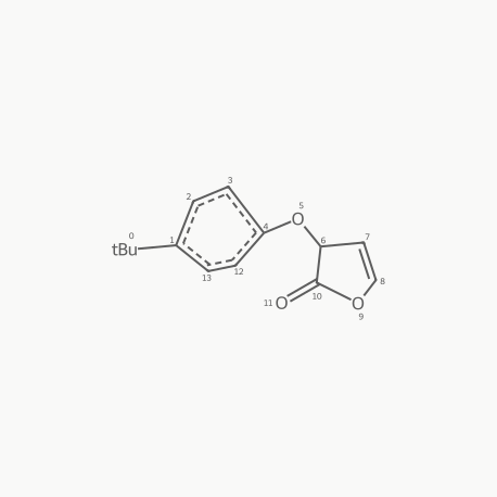 CC(C)(C)c1ccc(OC2C=COC2=O)cc1